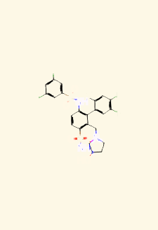 Cc1cc(F)c(Br)cc1-c1c(NS(=O)(=O)c2cc(Cl)cc(Cl)c2)ccc(S(N)(=O)=O)c1CN1CCC(O)C1